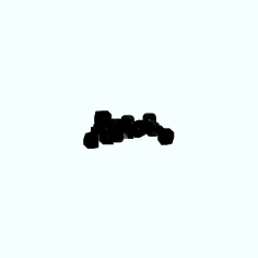 O=C(NC1CCN(C(=O)OCc2ccccc2)CC1)C(=O)NC(c1ccccc1OCc1ccccc1)C1SCCCS1